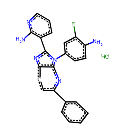 Cl.Nc1ccc(-n2c(-c3cccnc3N)nc3ccc(-c4ccccc4)nc32)cc1F